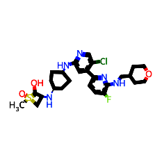 CS1(=O)=C(O)[C@@H](N[C@H]2CC[C@H](Nc3cc(-c4ccc(F)c(NCC5CCOCC5)n4)c(Cl)cn3)CC2)C1